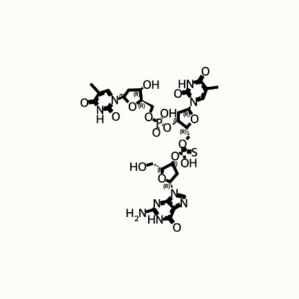 Cc1cn([C@H]2C[C@@H](O)[C@@H](COP(=O)(O)O[C@@H]3C[C@H](n4cc(C)c(=O)[nH]c4=O)O[C@@H]3COP(O)(=S)O[C@@H]3C[C@H](n4cnc5c(=O)[nH]c(N)nc54)O[C@@H]3CO)O2)c(=O)[nH]c1=O